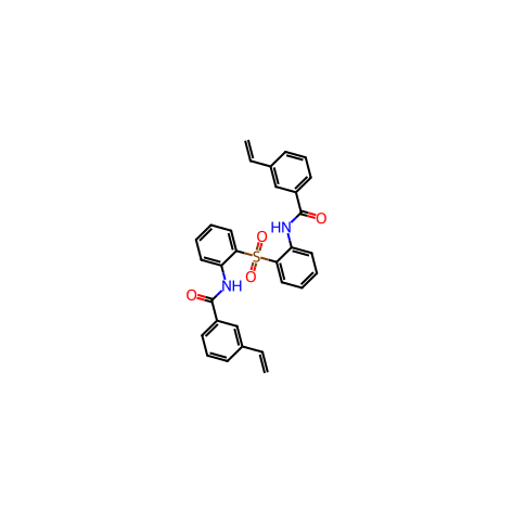 C=Cc1cccc(C(=O)Nc2ccccc2S(=O)(=O)c2ccccc2NC(=O)c2cccc(C=C)c2)c1